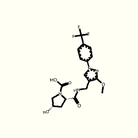 COc1nn(-c2ccc(C(F)(F)F)cc2)cc1CNC(=O)[C@@H]1C[C@H](O)CN1C(=O)O